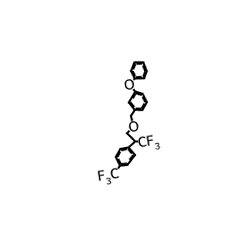 FC(F)(F)c1ccc(C(COCc2cccc(Oc3ccccc3)c2)C(F)(F)F)cc1